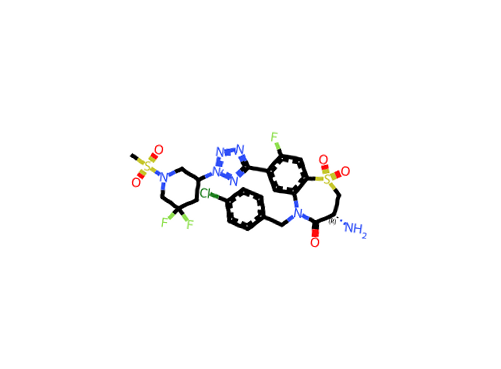 CS(=O)(=O)N1CC(n2nnc(-c3cc4c(cc3F)S(=O)(=O)C[C@H](N)C(=O)N4Cc3ccc(Cl)cc3)n2)CC(F)(F)C1